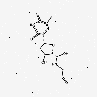 C=CCNC(O)[C@H]1O[C@@H](n2cc(C)c(=O)[nH]c2=O)C[C@@H]1O